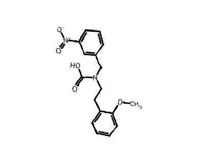 COc1ccccc1CCN(Cc1cccc([N+](=O)[O-])c1)C(=O)O